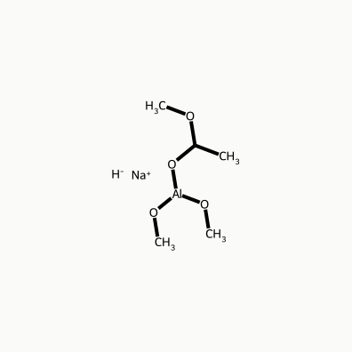 COC(C)[O][Al]([O]C)[O]C.[H-].[Na+]